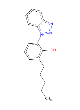 CCCCCc1cccc(-n2nnc3ccccc32)c1O